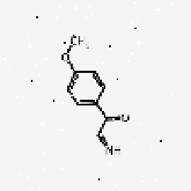 COc1ccc(C(=O)C=N)cc1